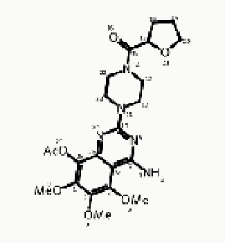 COc1c(OC)c(OC)c2c(N)nc(N3CCN(C(=O)C4CCCO4)CC3)nc2c1OC(C)=O